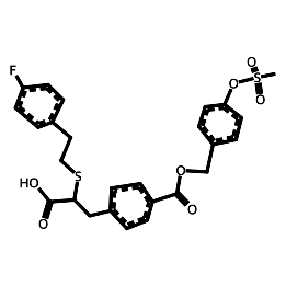 CS(=O)(=O)Oc1ccc(COC(=O)c2ccc(CC(SCCc3ccc(F)cc3)C(=O)O)cc2)cc1